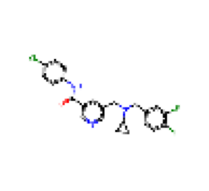 O=C(Nc1ccc(Cl)cc1)c1cncc(CN(Cc2ccc(F)c(F)c2)C2CC2)c1